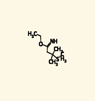 CCOC(=N)CC(C)(C)SC